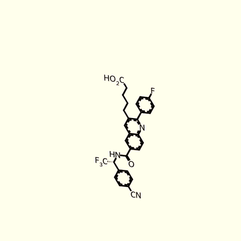 N#Cc1ccc([C@@H](NC(=O)c2ccc3nc(-c4ccc(F)cc4)c(CCCCC(=O)O)cc3c2)C(F)(F)F)cc1